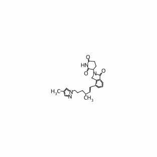 Cc1cnn(CCCC(C)/C=C/c2cccc3c2CN(C2CCC(=O)NC2=O)C3=O)c1